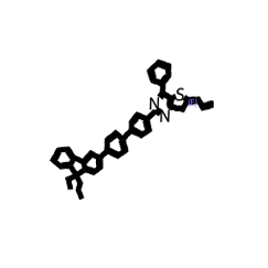 C=C/C=C1\Cc2nc(-c3ccc(-c4ccc(-c5ccc6c(c5)-c5ccccc5C6(CC)CCC)cc4)cc3)nc(-c3ccccc3)c2S1